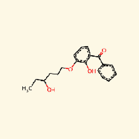 CCC(O)CCCOc1cccc(C(=O)c2ccccc2)c1O